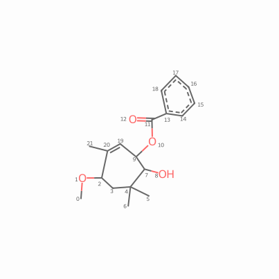 COC1CC(C)(C)C(O)C(OC(=O)c2ccccc2)C=C1C